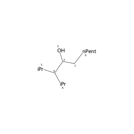 CCCCCCC(O)C(C(C)C)C(C)C